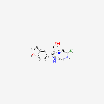 OCC1=C(c2ccc3occc3c2)NC2C=NC(Br)=CN12